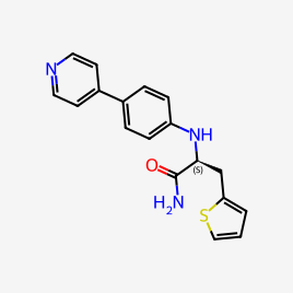 NC(=O)[C@H](Cc1cccs1)Nc1ccc(-c2ccncc2)cc1